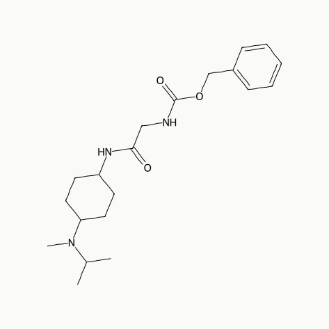 CC(C)N(C)C1CCC(NC(=O)CNC(=O)OCc2ccccc2)CC1